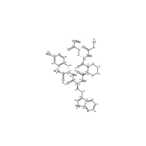 COC(=O)CC[C@H](NC(=O)CCl)C(=O)N1CCCC[C@H]1C(=O)N[C@@H](CCc1c[nH]c2ccccc12)C(=O)N[C@@H](Cc1ccc(O)cc1)C(N)=O